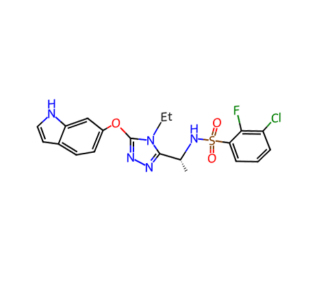 CCn1c(Oc2ccc3cc[nH]c3c2)nnc1[C@@H](C)NS(=O)(=O)c1cccc(Cl)c1F